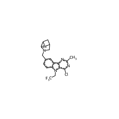 Cc1nc(Cl)c2c(n1)c1cc(CN3CC4CC(C3)N4)ccc1n2CC(F)(F)F